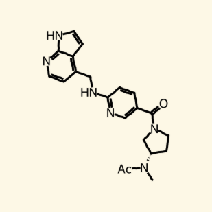 CC(=O)N(C)[C@H]1CCN(C(=O)c2ccc(NCc3ccnc4[nH]ccc34)nc2)C1